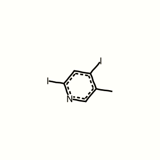 Cc1cnc(I)cc1I